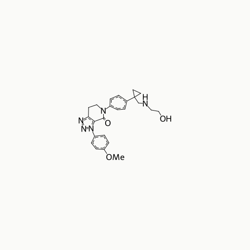 COc1ccc(-n2nnc3c2C(=O)N(c2ccc(C4(CNCCO)CC4)cc2)CC3)cc1